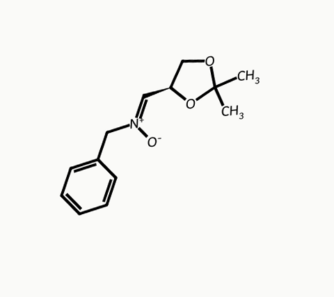 CC1(C)OC[C@H](C=[N+]([O-])Cc2ccccc2)O1